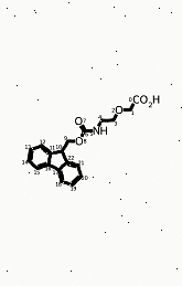 O=C(O)COCCNC(=O)OCC1c2ccccc2-c2ccccc21